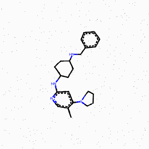 Cc1cnc(NC2CCC(NCc3ccccc3)CC2)cc1N1CCCC1